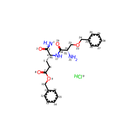 Cl.NC(=O)[C@@H](CCC(=O)OCc1ccccc1)NC(=O)[C@@H](N)COCc1ccccc1